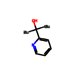 CCC(C)C(O)(c1ccccn1)C(C)(C)C